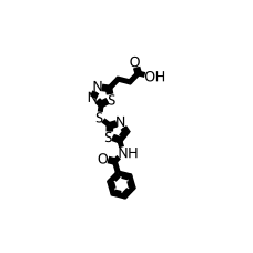 O=C(O)CCc1nnc(Sc2ncc(NC(=O)c3ccccc3)s2)s1